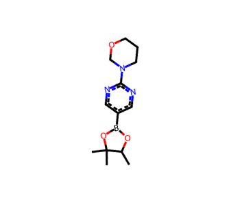 CC1OB(c2cnc(N3CCCOC3)nc2)OC1(C)C